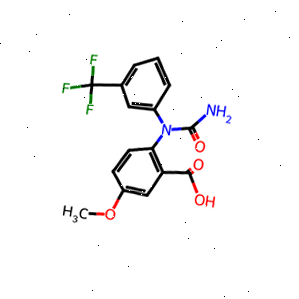 COc1ccc(N(C(N)=O)c2cccc(C(F)(F)F)c2)c(C(=O)O)c1